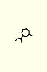 CNC(=O)[C@@H]1CC(C)CCCN1